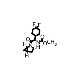 COC(=O)N[C@H](C(=O)N1[CH]C[C@@H]2C[C@H]21)C1CCC(F)(F)CC1